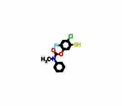 CN(C(=O)Oc1cc(S)c(Cl)cc1F)c1ccccc1